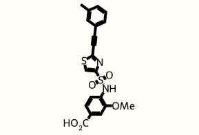 COc1cc(C(=O)O)ccc1NS(=O)(=O)c1csc(C#Cc2cccc(C)c2)n1